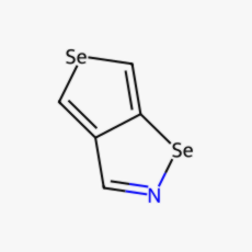 c1n[se]c2c[se]cc12